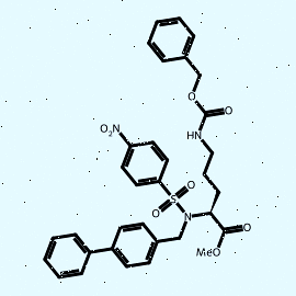 COC(=O)[C@H](CCCNC(=O)OCc1ccccc1)N(Cc1ccc(-c2ccccc2)cc1)S(=O)(=O)c1ccc([N+](=O)[O-])cc1